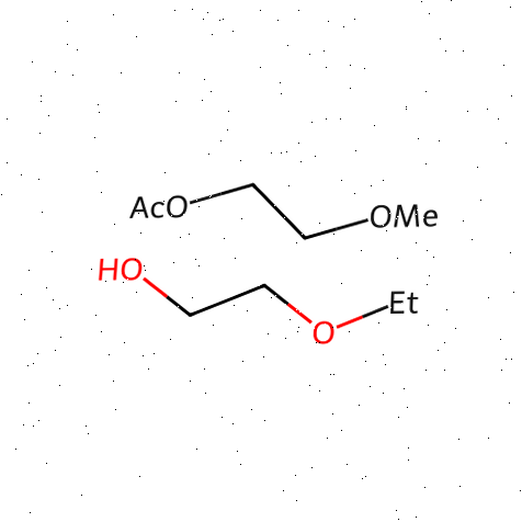 CCOCCO.COCCOC(C)=O